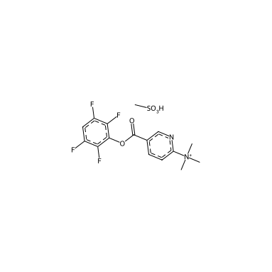 CS(=O)(=O)O.C[N+](C)(C)c1ccc(C(=O)Oc2c(F)c(F)cc(F)c2F)cn1